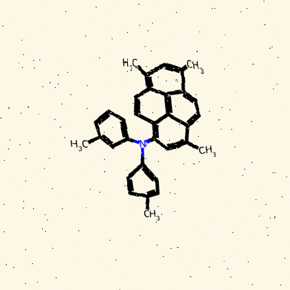 Cc1ccc(N(c2cccc(C)c2)c2cc(C)c3ccc4c(C)cc(C)c5ccc2c3c45)cc1